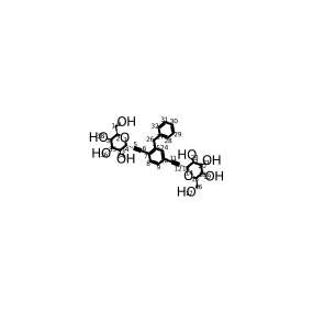 OC[C@H]1O[C@H](C#Cc2ccc(C#C[C@H]3O[C@H](CO)[C@@H](O)[C@H](O)[C@@H]3O)cc2Cc2ccccc2)[C@H](O)[C@@H](O)[C@@H]1O